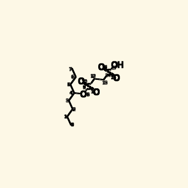 CCCCC(CCC)OS(=O)(=O)CCS(=O)(=O)O